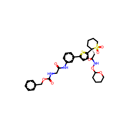 O=C(C[C@]1(c2ccc(-c3cccc(NC(=O)CNC(=O)OCc4ccccc4)c3)s2)CCCCS1(=O)=O)NOC1CCCCO1